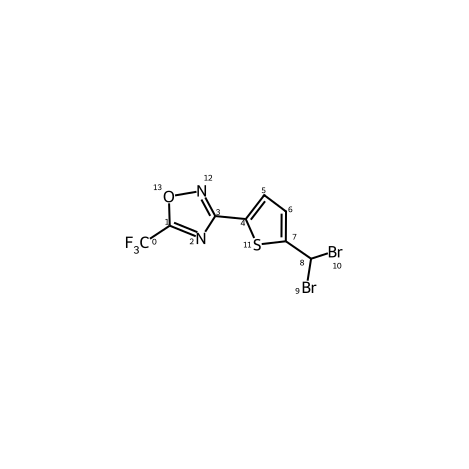 FC(F)(F)c1nc(-c2ccc(C(Br)Br)s2)no1